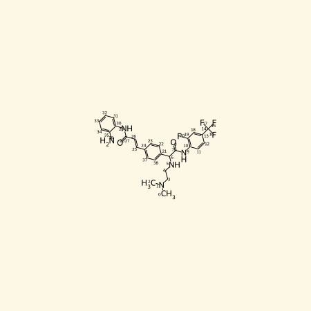 CN(C)CCNC(C(=O)Nc1ccc(C(F)(F)F)cc1F)c1ccc(C=CC(=O)Nc2ccccc2N)cc1